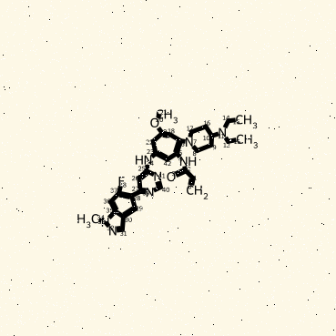 C=CC(=O)NC1=C(N2CCC(N(CC)CC)CC2)C=C(OC)CC(Nc2cc(-c3cc4cnn(C)c4cc3F)ncn2)=C1